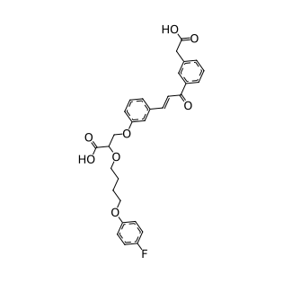 O=C(O)Cc1cccc(C(=O)/C=C/c2cccc(OCC(OCCCCOc3ccc(F)cc3)C(=O)O)c2)c1